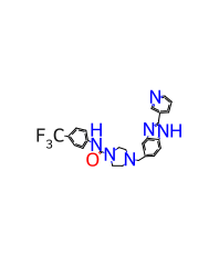 O=C(Nc1ccc(C(F)(F)F)cc1)N1CCN(Cc2ccc3[nH]c(-c4cccnc4)nc3c2)CC1